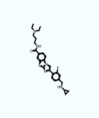 CCN(CC)CCCNC(=O)c1ccc2c(c1)sc1nc(-c3ccc(CNC4CC4)cc3F)cn12